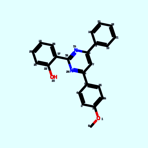 COc1ccc(-c2cc(-c3ccccc3)nc(-c3ccccc3O)n2)cc1